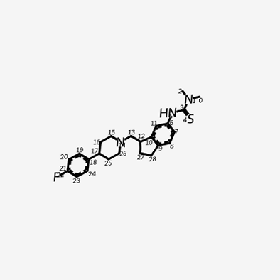 CN(C)C(=S)Nc1ccc2c(c1)C(CN1CCC(c3ccc(F)cc3)CC1)CC2